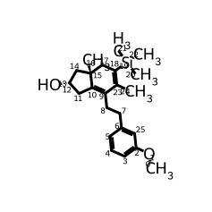 COc1cccc(CCC2=C3C[C@H](O)C[C@]3(C)CC([Si](C)(C)C)=C2C)c1